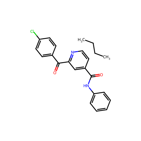 CCCC.O=C(Nc1ccccc1)c1ccnc(C(=O)c2ccc(Cl)cc2)c1